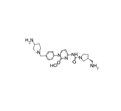 Cl.NC[C@@H]1CCN(C(=O)Nc2ccn(-c3ccc(CN4CCC(N)CC4)cc3)c(=O)n2)C1